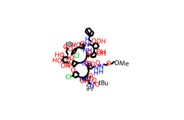 COCCOCCNC(=O)NC(=O)C[C@@H]1CC(=O)[C@H](NC(=O)[C@@H](CC(C)C)N(C)C(=O)OC(C)(C)C)[C@H](O)c2ccc(c(Cl)c2)Oc2cc3cc(c2O[C@@H]2O[C@H](CCC(=O)OC(C)(C)C)[C@@H](O)[C@H](O)[C@H]2O)Oc2ccc(cc2Cl)[C@@H](O)[C@@H]2NC(=O)[C@H](CC(=O)C3NC1=O)c1ccc(O)c(c1)-c1c(O)cc(O)cc1[C@@H](C(=O)CC1C3CC4CC(C3)CC1C4)NC2=O